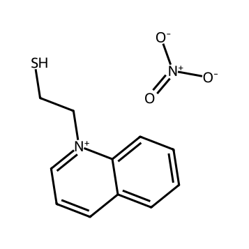 O=[N+]([O-])[O-].SCC[n+]1cccc2ccccc21